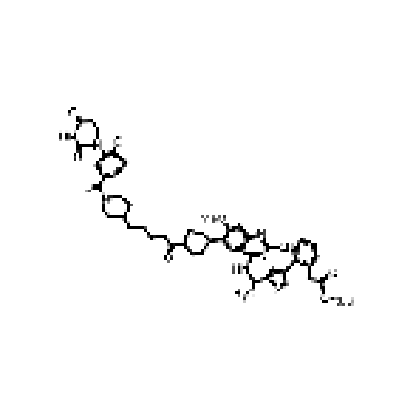 COc1cc2nc(C)nc(N[C@H](C)c3cc(-c4ccccc4CC(=O)OC(C)(C)C)cs3)c2cc1C1CCC(C(=O)CCCCC2CCN(C(=O)c3ccc(Cl)c(N4CCC(=O)NC4=O)c3)CC2)CC1